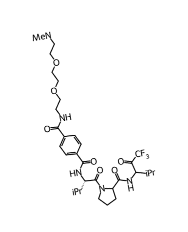 CNCCOCCOCCNC(=O)c1ccc(C(=O)N[C@H](C(=O)N2CCCC2C(=O)NC(C(=O)C(F)(F)F)C(C)C)C(C)C)cc1